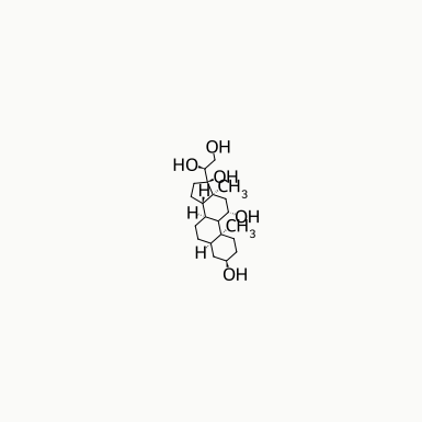 C[C@]12C[C@H](O)C3[C@@H](CC[C@@H]4C[C@H](O)CC[C@]34C)[C@@H]1CC[C@]2(O)[C@@H](O)CO